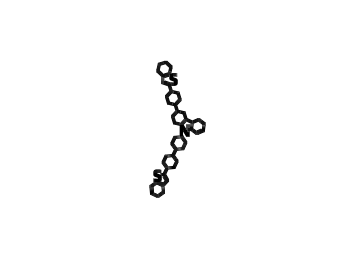 C1=Cc2sc(C3CCC(C4CCC(N5C6C=CCCC6C6CC(C7CCC(c8cc9c(s8)CCCC9)CC7)CCC65)CC4)CC3)cc2CC1